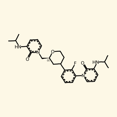 CC(C)Nc1cccn(C[C@@H]2CC(c3cccc(-n4cccc(NC(C)C)c4=O)c3F)CCO2)c1=O